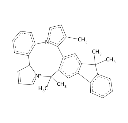 Cc1ccn2c1-c1cc3c(cc1C(C)(C)[N+]1=CC=CC1c1ccccc1-2)-c1ccccc1C3(C)C